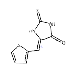 O=C1NC(=S)N/C1=C\c1cccs1